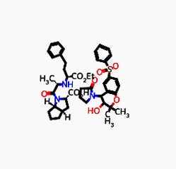 CC1(C)Oc2ccc(S(=O)(=O)c3ccccc3)cc2C(N2CCCC2=O)C1O.CCOC(=O)[C@H](CCc1ccccc1)N[C@@H](C)C(=O)N1[C@H](C(=O)O)C[C@@H]2CCC[C@@H]21